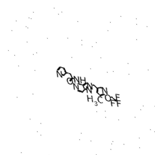 Cc1cc(Cn2cc3c(NC(=O)Cc4cccnc4)nccc3n2)cnc1OCC(F)(F)F